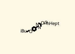 CCCCCCCOCOc1cnc(-c2ccc(OCCC(C)CC)cc2)nc1